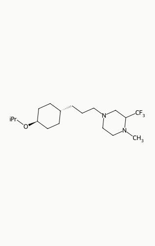 CC(C)O[C@H]1CC[C@H](CCCN2CCN(C)C(C(F)(F)F)C2)CC1